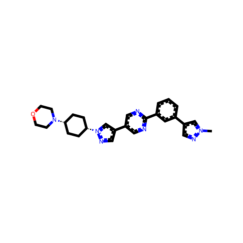 Cn1cc(-c2cccc(-c3ncc(-c4cnn([C@H]5CC[C@@H](N6CCOCC6)CC5)c4)cn3)c2)cn1